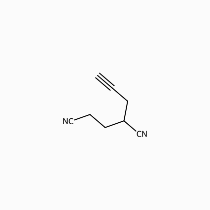 C#CCC(C#N)CCC#N